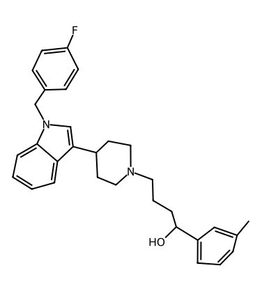 Cc1cccc(C(O)CCCN2CCC(c3cn(Cc4ccc(F)cc4)c4ccccc34)CC2)c1